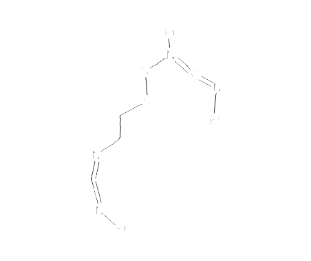 CCN=C=NCCSS[N+](=C=NCC)CC